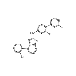 Cc1cc(-c2ccc(Nc3nc4c(-c5ccccc5Cl)cccn4n3)cc2F)ccn1